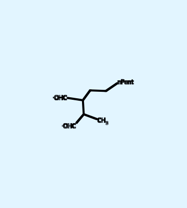 CCCCCCCC([C]=O)C(C)[C]=O